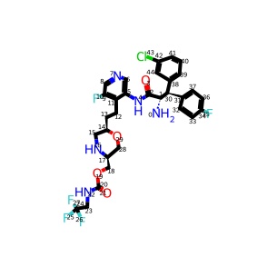 N[C@H](C(=O)Nc1cncc(F)c1CC[C@@H]1CN[C@H](COC(=O)NCC(F)(F)F)CO1)[C@H](c1ccc(F)cc1)c1cccc(Cl)c1